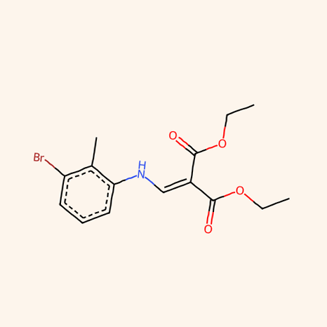 CCOC(=O)C(=CNc1cccc(Br)c1C)C(=O)OCC